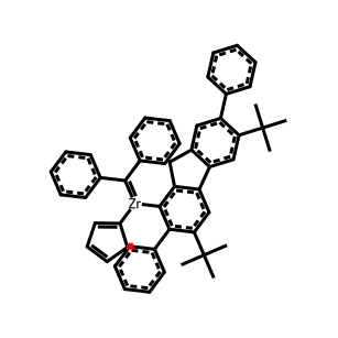 CC(C)(C)c1cc2c(cc1-c1ccccc1)Cc1c-2cc(C(C)(C)C)c(-c2ccccc2)[c]1[Zr]([C]1=CC=CC1)=[C](c1ccccc1)c1ccccc1